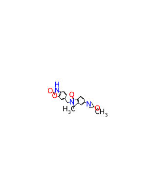 COC1CN(c2ccc3c(c2)C(C)N(Cc2ccc4[nH]c(=O)oc4c2)C3=O)C1